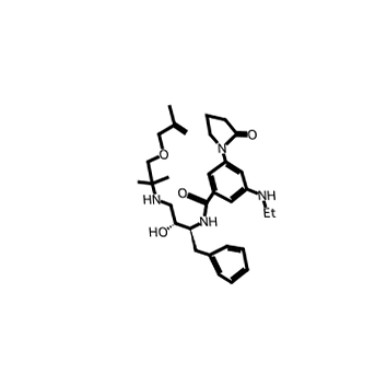 C=C(C)COCC(C)(C)NC[C@@H](O)[C@H](Cc1ccccc1)NC(=O)c1cc(NCC)cc(N2CCCC2=O)c1